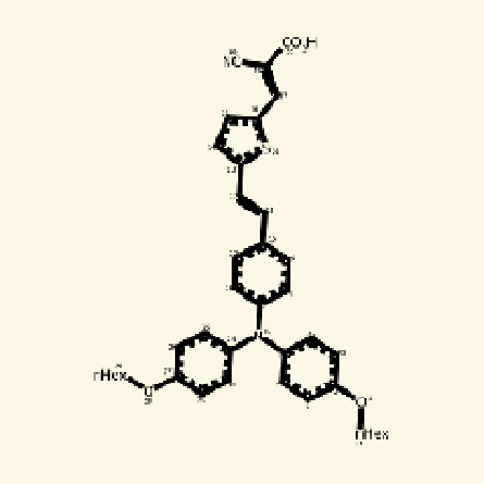 CCCCCCOc1ccc(N(c2ccc(/C=C/c3ccc(/C=C(\C#N)C(=O)O)s3)cc2)c2ccc(OCCCCCC)cc2)cc1